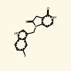 O=c1[nH]ccc2c1CC(=S)N2Cc1c[nH]c2ccc(F)cc12